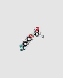 C1CCOC1.CCCO[C@H]1CC[C@H](c2ccc(C(F)(F)F)cc2)CC1